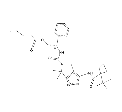 CCCCC(=O)OC[C@@H](NC(=O)N1Cc2c(NC(=O)C3(S(C)(C)C)CCC3)n[nH]c2C1(C)C)c1ccccc1